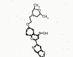 CC1CN(CCOc2ccc3oc(-c4cc5sccc5cn4)cc(=NO)c3c2)CC(C)O1